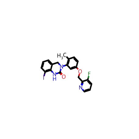 Cc1ccc(OCc2ncccc2F)cc1N1Cc2cccc(I)c2NC1=O